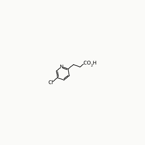 O=C(O)CCc1ccc(Cl)cn1